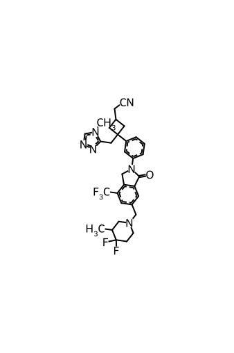 CC1CN(Cc2cc3c(c(C(F)(F)F)c2)CN(c2cccc(C4(Cc5nncn5C)CC(CC#N)C4)c2)C3=O)CCC1(F)F